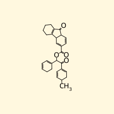 CC1C=CC(C(=O)C(OC(=O)C2=CC3C4=C(CCCC4)C(=O)C3C=C2)C2=CC=CCC2)=CC1